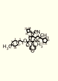 CN1CCN(CCOC(=O)NC(=NC(CC(C)(C)C2CCCC2)C(=O)N(C#N)C2CCC2)N2CCOCC2)CC1